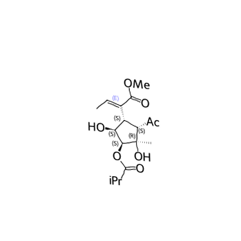 C/C=C(/C(=O)OC)[C@H]1[C@H](O)[C@H](OC(=O)C(C)C)[C@](C)(O)[C@H]1C(C)=O